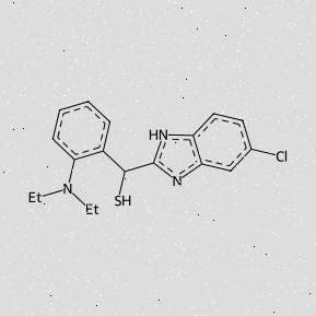 CCN(CC)c1ccccc1C(S)c1nc2cc(Cl)ccc2[nH]1